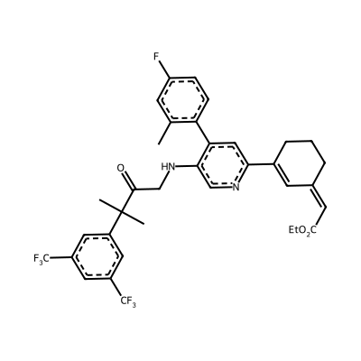 CCOC(=O)C=C1C=C(c2cc(-c3ccc(F)cc3C)c(NCC(=O)C(C)(C)c3cc(C(F)(F)F)cc(C(F)(F)F)c3)cn2)CCC1